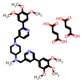 COc1cc(-c2cncc(CN(C)C3CCN(Cc4ccnc(-c5cc(OC)c(OC)c(OC)c5)c4)CC3)c2)cc(OC)c1OC.O=C(O)C=CC(=O)O.O=C(O)C=CC(=O)O